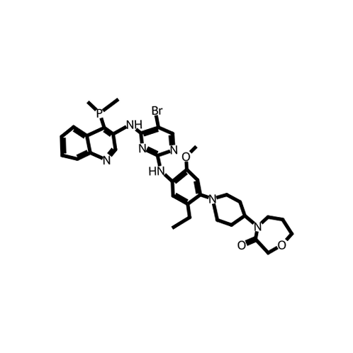 CCc1cc(Nc2ncc(Br)c(Nc3cnc4ccccc4c3P(C)C)n2)c(OC)cc1N1CCC(N2CCCOCC2=O)CC1